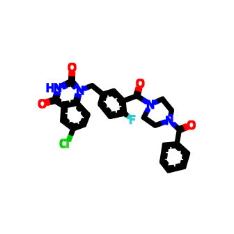 O=C(c1ccccc1)N1CCN(C(=O)c2cc(Cn3c(=O)[nH]c(=O)c4cc(Cl)ccc43)ccc2F)CC1